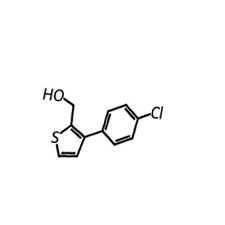 OCc1sccc1-c1ccc(Cl)cc1